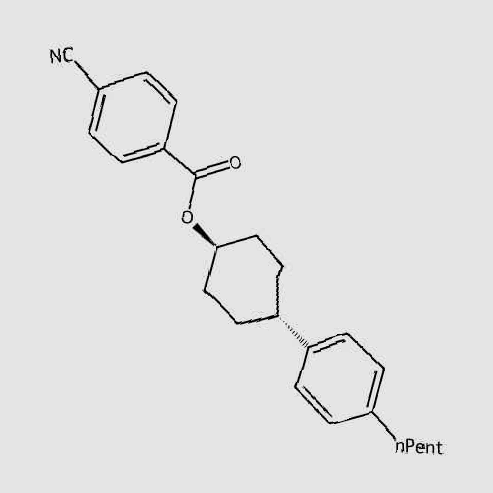 CCCCCc1ccc([C@H]2CC[C@H](OC(=O)c3ccc(C#N)cc3)CC2)cc1